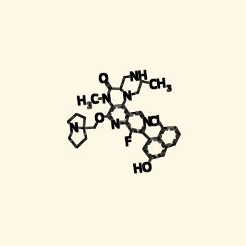 CC1CN2c3c(c(OCC45CCCN4CCC5)nc4c(F)c(-c5cc(O)cc6cccc(Cl)c56)ncc34)N(C)C(=O)C2CN1